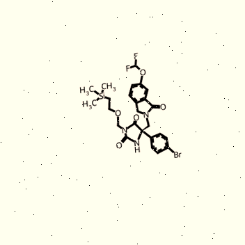 C[Si](C)(C)CCOCN1C(=O)N[C@@](CN2Cc3ccc(OC(F)F)cc3C2=O)(c2ccc(Br)cc2)C1=O